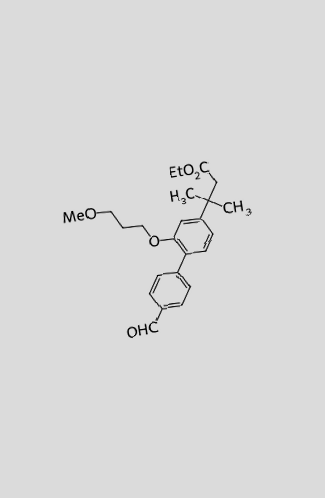 CCOC(=O)CC(C)(C)c1ccc(-c2ccc(C=O)cc2)c(OCCCOC)c1